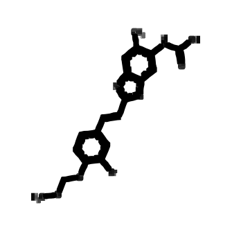 COCOc1ccc(C=Cc2nc3cc(C)c(NC(=O)O)cc3s2)cc1Br